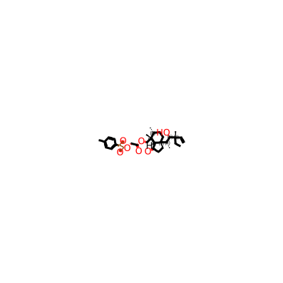 C=C[C@](C)(CC)[C@@H](O)[C@H](C)[C@]12CCC(=O)[C@H]1[C@](C)(COC(=O)COS(=O)(=O)c1ccc(C)cc1)[C@H](C)CC2